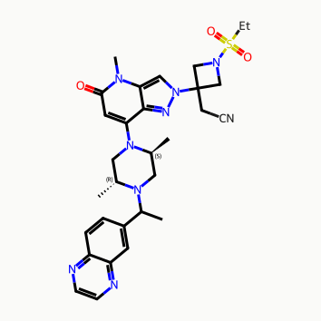 CCS(=O)(=O)N1CC(CC#N)(n2cc3c(n2)c(N2C[C@@H](C)N(C(C)c4ccc5nccnc5c4)C[C@@H]2C)cc(=O)n3C)C1